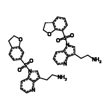 NCCc1cn(S(=O)(=O)c2ccc3c(c2)OCC3)c2cccnc12.NCCc1cn(S(=O)(=O)c2cccc3c2OCC3)c2cccnc12